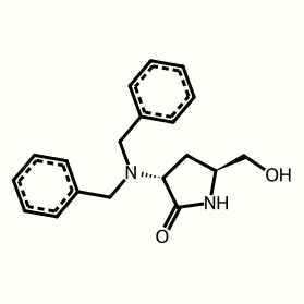 O=C1N[C@H](CO)C[C@H]1N(Cc1ccccc1)Cc1ccccc1